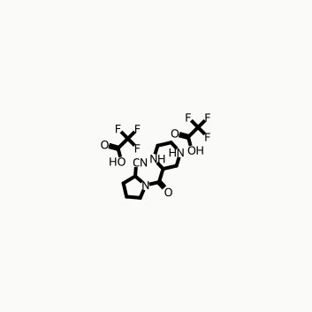 N#CC1CCCN1C(=O)C1CNCCN1.O=C(O)C(F)(F)F.O=C(O)C(F)(F)F